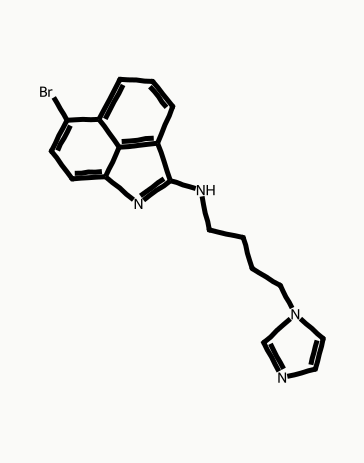 Brc1ccc2c3c(cccc13)C(NCCCCn1ccnc1)=N2